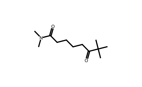 CN(C)C(=O)CCCCC(=O)C(C)(C)C